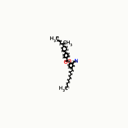 CCCCCCCCCCc1ccc(OC(=O)c2ccc(C3CCC(C(C)CCCC)CC3)cc2)c(C#N)c1